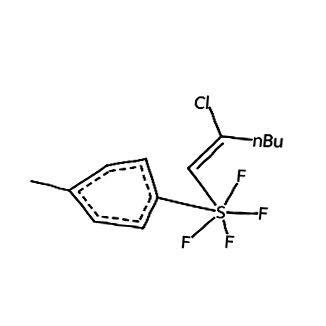 CCCC/C(Cl)=C\S(F)(F)(F)(F)c1ccc(C)cc1